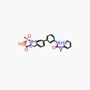 CN(C(=O)Nc1cccc(-c2ccc(C[C@H](NS(C)(=O)=O)C(=O)O)cc2)c1)c1ccccn1